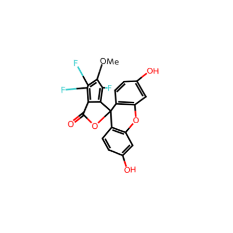 COc1c(F)c(F)c2c(c1F)C1(OC2=O)c2ccc(O)cc2Oc2cc(O)ccc21